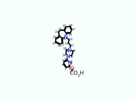 O=C(O)Oc1cccc(N2CCN(CCCN3c4ccccc4CCc4ccccc43)CC2)n1